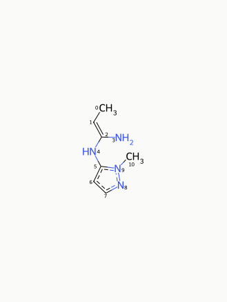 C/C=C(\N)Nc1ccnn1C